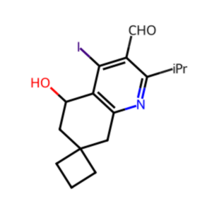 CC(C)c1nc2c(c(I)c1C=O)C(O)CC1(CCC1)C2